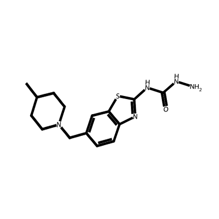 CC1CCN(Cc2ccc3nc(NC(=O)NN)sc3c2)CC1